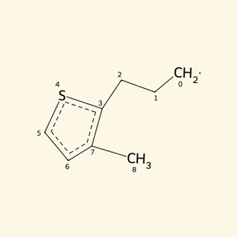 [CH2]CCc1sccc1C